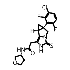 O=C(Cc1[nH]c(=S)n2c1[C@@H]1C[C@]1(c1c(F)ccc(Cl)c1F)C2)N[C@@H]1CCOC1